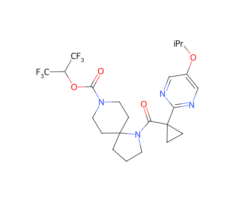 CC(C)Oc1cnc(C2(C(=O)N3CCCC34CCN(C(=O)OC(C(F)(F)F)C(F)(F)F)CC4)CC2)nc1